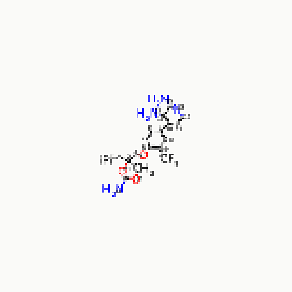 CC(C)CC(C)(COc1ccc(-c2ccnc(N)c2N)cc1C(F)(F)F)OC(N)=O